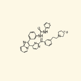 O=C(Nc1ccsc1)Nc1cccc(-c2nc3ccccn3c2-c2ccnc(Nc3cccc(CCN4CC[C@H](F)C4)c3)n2)c1